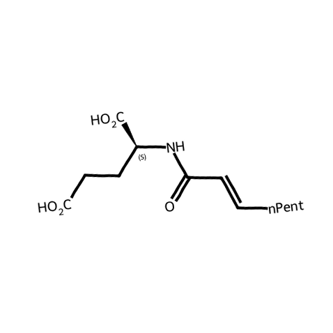 CCCCCC=CC(=O)N[C@@H](CCC(=O)O)C(=O)O